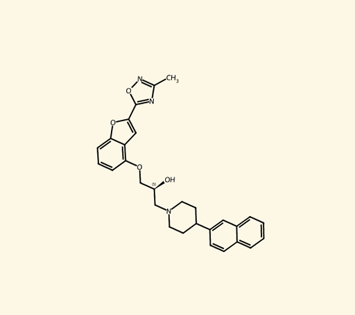 Cc1noc(-c2cc3c(OC[C@@H](O)CN4CCC(c5ccc6ccccc6c5)CC4)cccc3o2)n1